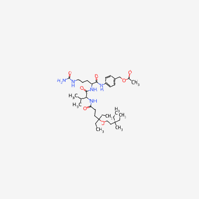 CCC(C)(CC)CCOC(CC)(CC)CCC(=O)NC(C(=O)NC(CCCNC(N)=O)C(=O)Nc1ccc(COC(C)=O)cc1)C(C)C